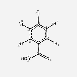 [2H]c1c([2H])c([2H])c(C(=O)C(=O)O)c([2H])c1[2H]